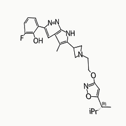 Cc1c(C2CN(CCOc3cc([C@H](C)C(C)C)on3)C2)[nH]c2nnc(-c3cccc(F)c3O)cc12